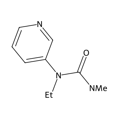 CCN(C(=O)NC)c1cccnc1